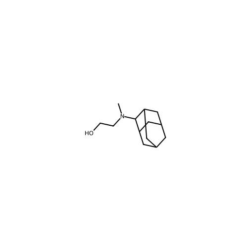 CN(CCO)C1C2CC3CC(C2)CC1C3